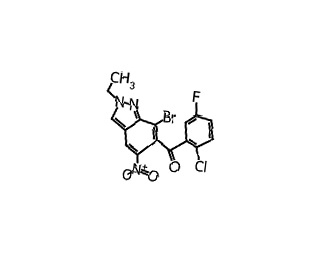 CCn1cc2cc([N+](=O)[O-])c(C(=O)c3cc(F)ccc3Cl)c(Br)c2n1